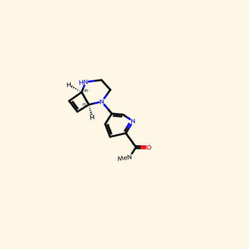 CNC(=O)c1ccc(N2CCN[C@@H]3C=C[C@@H]32)cn1